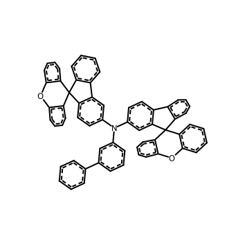 c1ccc(-c2cccc(N(c3ccc4c(c3)-c3ccccc3C43c4ccccc4Oc4ccccc43)c3ccc4c(c3)C3(c5ccccc5Oc5ccccc53)c3ccccc3-4)c2)cc1